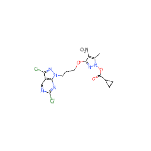 Cc1c([N+](=O)[O-])c(OCCCn2nc(Cl)c3cnc(Cl)nc32)nn1OC(=O)C1CC1